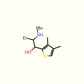 CCC(NC(C)(C)C)C(O)c1scc(C)c1C